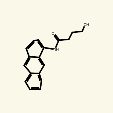 O=C(CCCO)Nc1cccc2cc3ccccc3cc12